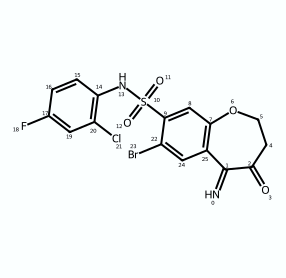 N=C1C(=O)CCOc2cc(S(=O)(=O)Nc3ccc(F)cc3Cl)c(Br)cc21